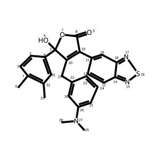 Cc1ccc(C2(O)OC(=O)C(c3ccc4nsnc4c3)=C2Cc2cccc(N(C)C)c2)cc1C